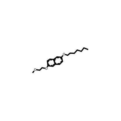 CCCCCCCOc1ccc2cc(OCCOC)ccc2c1